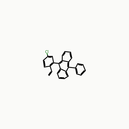 C=Cc1ccc(Cl)cc1-c1c2ccccc2c(-c2ccccc2)c2ccccc12